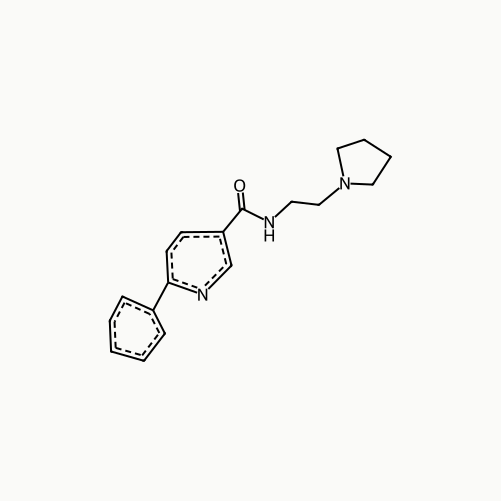 O=C(NCCN1CCCC1)c1ccc(-c2ccccc2)nc1